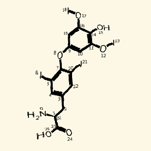 N[C@@H](Cc1cc(I)c(Oc2cc(OI)c(O)c(OI)c2)c(I)c1)C(=O)O